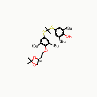 CC1(C)OC[C@H](CCOc2c(C(C)(C)C)cc(SC(C)(C)Sc3cc(C(C)(C)C)c(O)c(C(C)(C)C)c3)cc2C(C)(C)C)O1